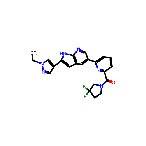 O=C(c1cccc(-c2cnc3[nH]c(-c4cnn(CC(F)(F)F)c4)cc3c2)n1)N1CCC(F)(F)C1